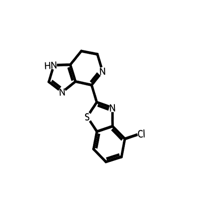 Clc1cccc2sc(C3=NCCc4[nH]cnc43)nc12